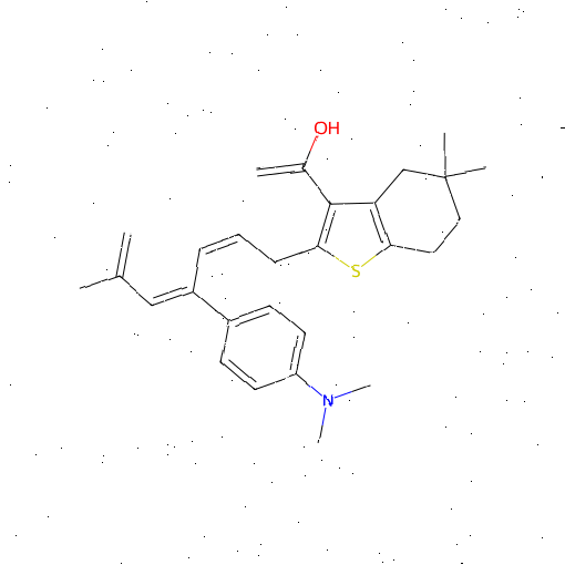 C=C(C)/C=C(\C=C/Cc1sc2c(c1C(=C)O)CC(C)(C)CC2)c1ccc(N(C)C)cc1